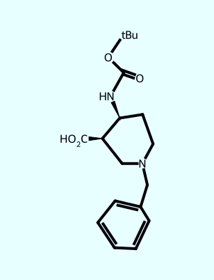 CC(C)(C)OC(=O)N[C@H]1CCN(Cc2ccccc2)C[C@H]1C(=O)O